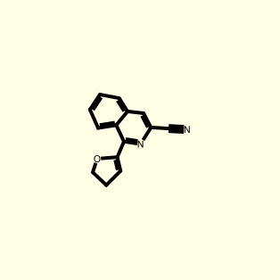 N#Cc1cc2ccccc2c(C2=CCCO2)n1